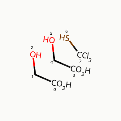 O=C(O)CO.O=C(O)CO.SC(Cl)(Cl)Cl